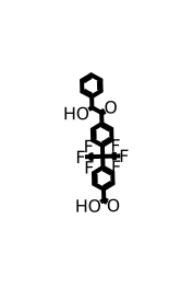 O=C(O)c1ccc(C(c2ccc(C(=O)C(O)c3ccccc3)cc2)(C(F)(F)F)C(F)(F)F)cc1